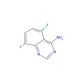 Nc1ncnc2c(F)ccc(F)c12